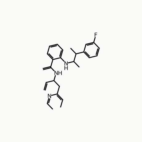 C=CC(CC(=C/C)/N=C\C)NC(=C)c1ccccc1NC(C)C(C)c1cccc(F)c1